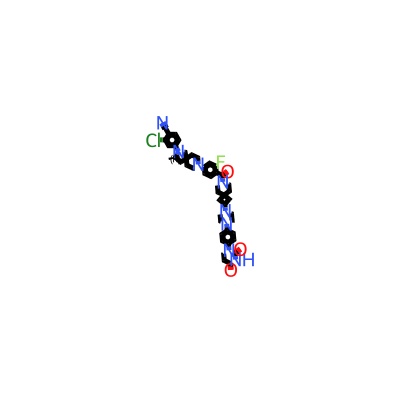 C[C@@H]1CC2(CCN(c3ccc(C(=O)N4CCC5(CC4)CC(N4CCN(c6ccc(N7CCC(=O)NC7=O)cc6)CC4)C5)c(F)c3)CC2)CN1c1ccc(C#N)c(Cl)c1